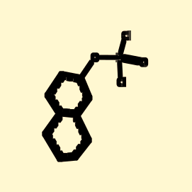 O=P(Cl)(Cl)Oc1ccc2ccccc2c1